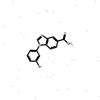 NC(=O)c1ccc2c(c1)ncn2-c1cccc(Br)c1